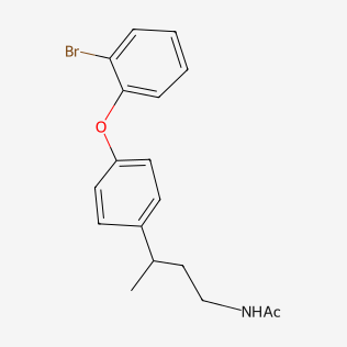 CC(=O)NCCC(C)c1ccc(Oc2ccccc2Br)cc1